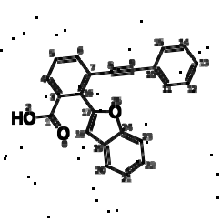 O=C(O)c1cccc(C#Cc2ccccc2)c1-c1cc2ccccc2o1